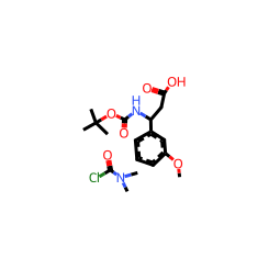 CN(C)C(=O)Cl.COc1cccc(C(CC(=O)O)NC(=O)OC(C)(C)C)c1